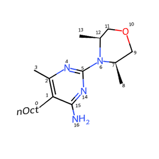 CCCCCCCCc1c(C)nc(N2[C@H](C)COC[C@@H]2C)nc1N